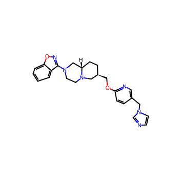 c1ccc2c(N3CCN4C[C@H](COc5ccc(Cn6ccnc6)cn5)CC[C@H]4C3)noc2c1